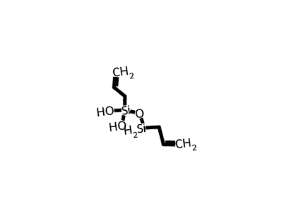 C=CC[SiH2]O[Si](O)(O)CC=C